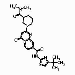 CN(C)C(=O)C1CCCN(c2cc(=O)n3ccc(C(=O)Nc4nc(C(C)(C)C)cs4)cc3n2)C1